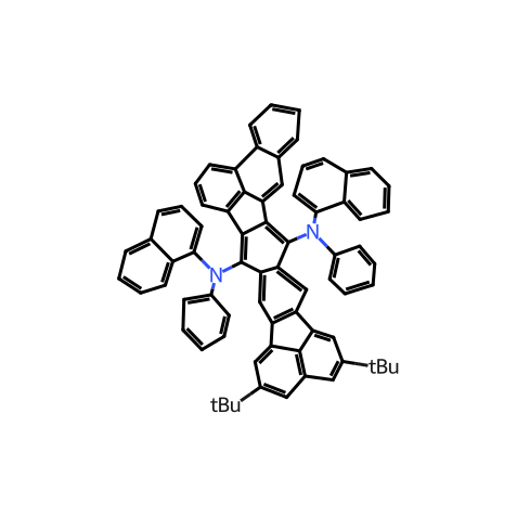 CC(C)(C)c1cc2cc(C(C)(C)C)cc3c4cc5c(N(c6ccccc6)c6cccc7ccccc67)c6c7cc8ccccc8c8cccc(c6c(N(c6ccccc6)c6cccc9ccccc69)c5cc4c(c1)c23)c87